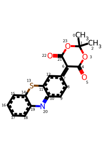 CC1(C)OC(=O)C(=c2ccc3c(c2)Sc2ccccc2N=3)C(=O)O1